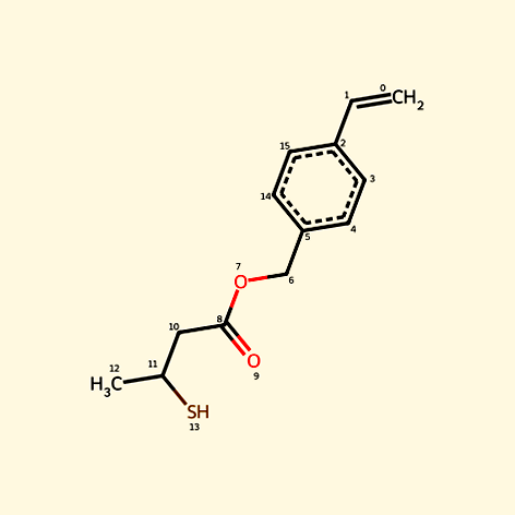 C=Cc1ccc(COC(=O)CC(C)S)cc1